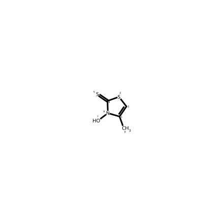 Cc1csc(=S)n1O